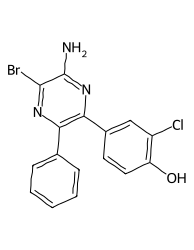 Nc1nc(-c2ccc(O)c(Cl)c2)c(-c2ccccc2)nc1Br